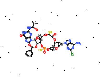 CC(C)C(=O)Nc1nc2c(ncn2[C@@H]2O[C@@H]3COC(S)C(=O)OC4C5C(O[C@@H]4COP(=O)(S)OC3C2OC(=O)c2ccccc2)[C@H]5n2cnc3c(N)nc(Cl)nc32)c(=O)[nH]1